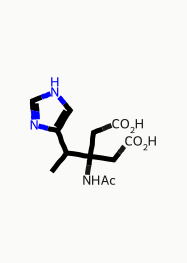 CC(=O)NC(CC(=O)O)(CC(=O)O)C(C)c1c[nH]cn1